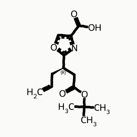 C=CC[C@H](CC(=O)OC(C)(C)C)c1nc(C(=O)O)co1